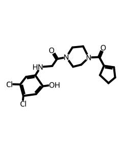 O=C(CNc1cc(Cl)c(Cl)cc1O)N1CCN(C(=O)C2=CCCC2)CC1